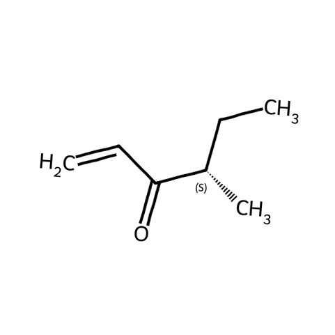 C=CC(=O)[C@@H](C)CC